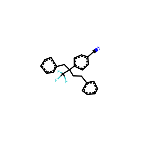 N#Cc1ccc(C(CCc2ccccc2)(Cc2ccccc2)C(F)(F)F)cc1